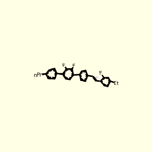 CCCc1ccc(-c2ccc(-c3ccc(/C=C/c4ccc(CC)cc4F)cc3)c(F)c2F)cc1